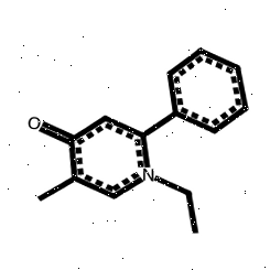 CCn1cc(C)c(=O)cc1-c1ccccc1